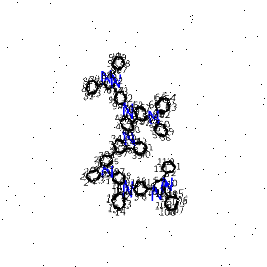 c1ccc(-c2cc(-c3ccc(-n4c5ccccc5c5cc(-n6c7ccccc7c7ccc(-c8ccc9c(c8)c8ccccc8n9-c8ccc9c(c8)c8cc(N(c%10ccccc%10)c%10ccccc%10)ccc8n9-c8ccc(-c9cc(-c%10ccccc%10)nc(-c%10ccccc%10)n9)cc8)cc76)ccc54)cc3)nc(-c3ccccc3)n2)cc1